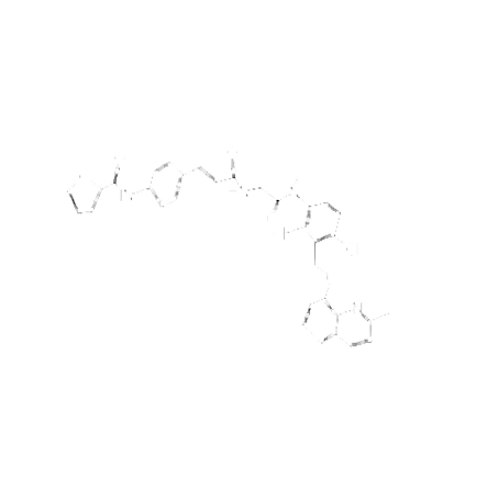 Cc1ccc2cccc(OCc3c(Cl)ccc(N(C)C(=O)CNC(=O)C=Cc4ccc(NC(=O)c5ccco5)cc4)c3Cl)c2n1